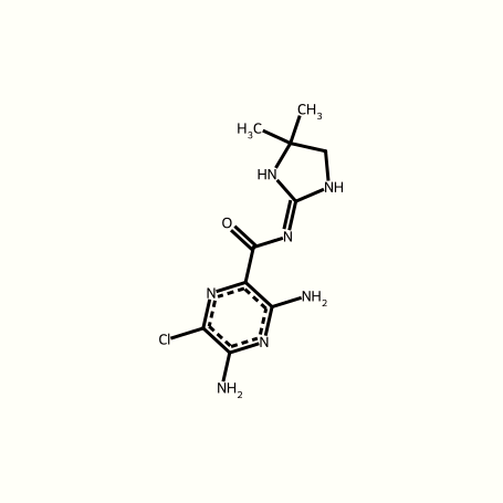 CC1(C)CN/C(=N/C(=O)c2nc(Cl)c(N)nc2N)N1